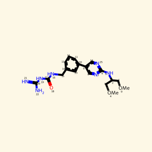 COCC(COC)Nc1ncc(-c2cccc(CNC(=O)NC(=N)N)c2)cn1